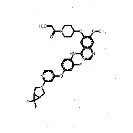 C=CC(=O)N1CCC(Oc2cc3c(Nc4ccc(Oc5ccnc(N6CC7C(C6)C7(F)F)c5)cc4F)ncnc3cc2OC)CC1